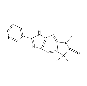 CN1C(=O)C(C)(C)c2cc3nc(-c4cccnc4)[nH]c3cc21